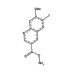 CSc1cc2ncc(C(=O)ON)cc2cc1F